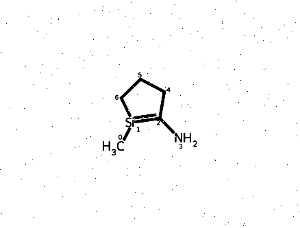 C[Si]1=C(N)CCC1